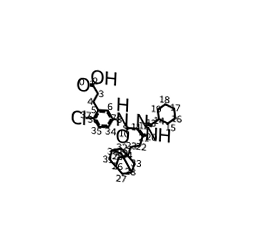 O=C(O)CCc1cc(NC(=O)c2nc(C3CCCCC3)[nH]c2CCC23CC4CC(CC(C4)C2)C3)ccc1Cl